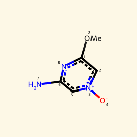 COc1c[n+]([O-])cc(N)n1